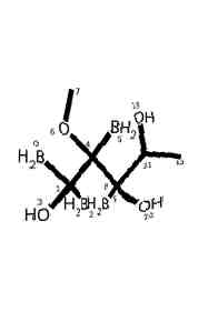 BC(B)(O)C(B)(OC)C(B)(O)C(C)O